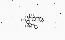 CN(C(=O)c1cc2c(CC3CCCC3)n[nH]c2cc1O)c1cccc(CN2CCOCC2)c1